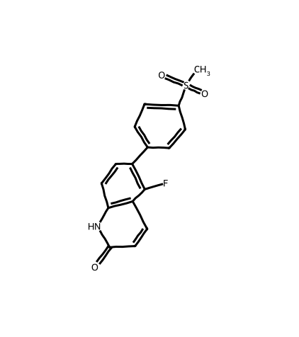 CS(=O)(=O)c1ccc(-c2ccc3[nH]c(=O)ccc3c2F)cc1